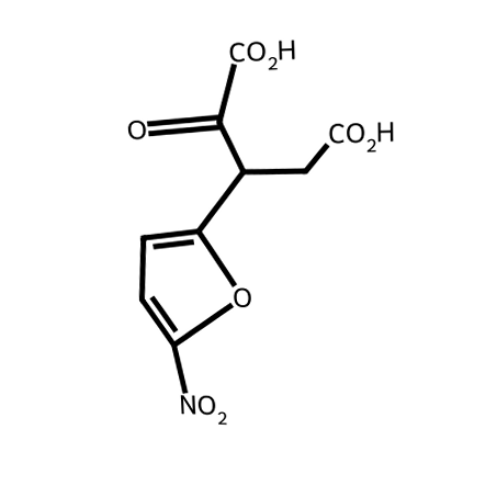 O=C(O)CC(C(=O)C(=O)O)c1ccc([N+](=O)[O-])o1